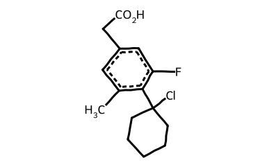 Cc1cc(CC(=O)O)cc(F)c1C1(Cl)CCCCC1